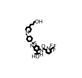 CC(C)(O)c1cc2nc([C@H]3CC[C@H](CN4CCC(CCCO)CC4)CC3)sc2cc1NC(=O)c1cccc(C(F)(F)F)n1